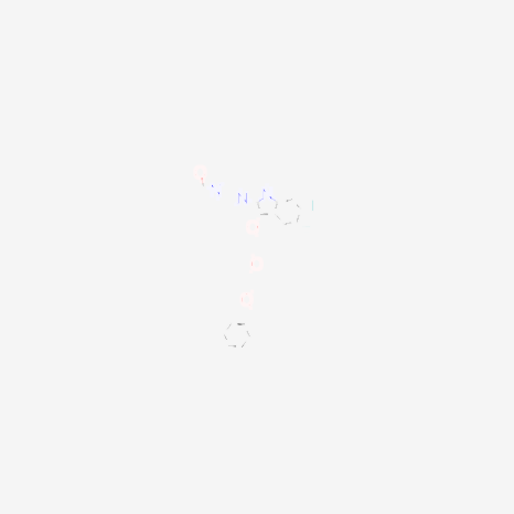 Cn1c(N2CCN(C=O)CC2)c(OCCOCCOCc2ccccc2)c2cc(F)c(F)cc21